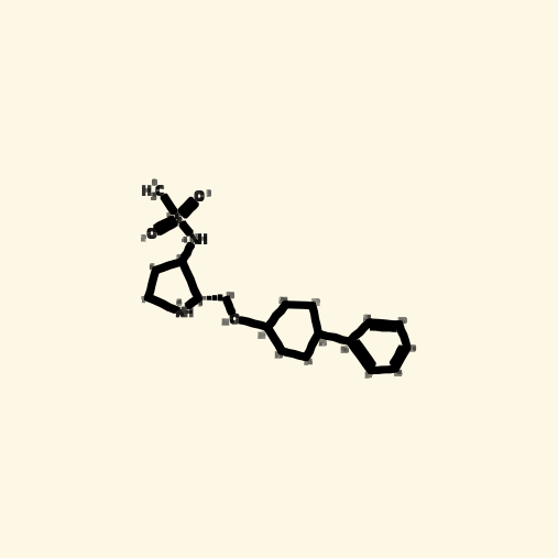 CS(=O)(=O)NC1CCN[C@H]1COC1CCC(c2ccccc2)CC1